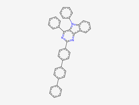 c1ccc(-c2ccc(-c3ccc(-c4nc(-c5ccccc5)c5c(n4)c4ccccc4n5-c4ccccc4)cc3)cc2)cc1